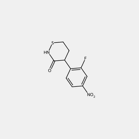 O=C1NSCCC1c1ccc([N+](=O)[O-])cc1F